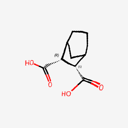 O=C(O)[C@@H]1C2CCC(C2)[C@@H]1C(=O)O